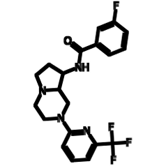 O=C(NC1CCN2CCN(c3cccc(C(F)(F)F)n3)CC12)c1cccc(F)c1